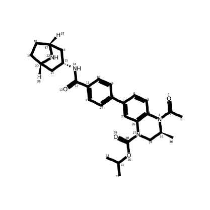 CC(=O)N1c2ccc(-c3ccc(C(=O)N[C@H]4C[C@H]5CC[C@@H](C4)N5)cc3)cc2N(C(=O)OC(C)C)C[C@@H]1C